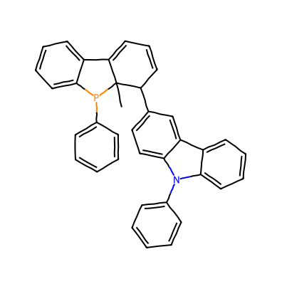 CC12C(=CC=CC1c1ccc3c(c1)c1ccccc1n3-c1ccccc1)c1ccccc1P2c1ccccc1